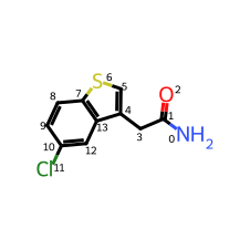 NC(=O)Cc1csc2ccc(Cl)cc12